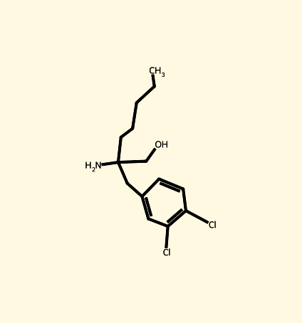 CCCCCC(N)(CO)Cc1ccc(Cl)c(Cl)c1